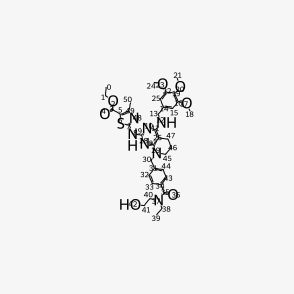 CCOC(=O)c1sc(Nc2nc(NCc3cc(OC)c(OC)c(OC)c3)c3c(n2)N(Cc2ccc(C(=O)N(CC)CCO)cc2)CCC3)nc1C